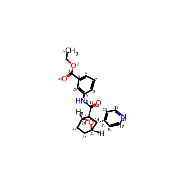 CCOC(=O)c1cccc(NC(=O)[C@H]2[C@H](c3ccncc3)[C@@H]3CC[C@H]2O3)c1